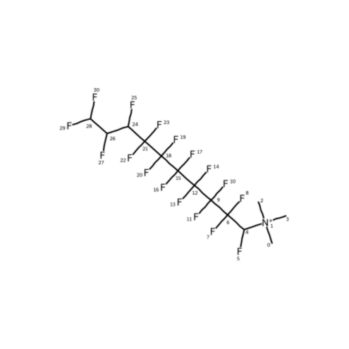 C[N+](C)(C)C(F)C(F)(F)C(F)(F)C(F)(F)C(F)(F)C(F)(F)C(F)(F)C(F)C(F)C(F)F